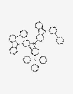 c1ccc(-c2cccc(-n3c4ccccc4c4cc(-n5c6ccc(-n7c8ccccc8c8cccc(-c9ccccc9)c87)cc6c6cc([Si](c7ccccc7)(c7ccccc7)c7ccccc7)ccc65)ccc43)c2)cc1